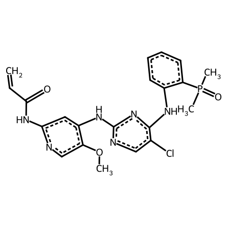 C=CC(=O)Nc1cc(Nc2ncc(Cl)c(Nc3ccccc3P(C)(C)=O)n2)c(OC)cn1